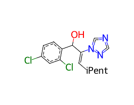 CCCC(C)C=C(C(O)c1ccc(Cl)cc1Cl)n1cncn1